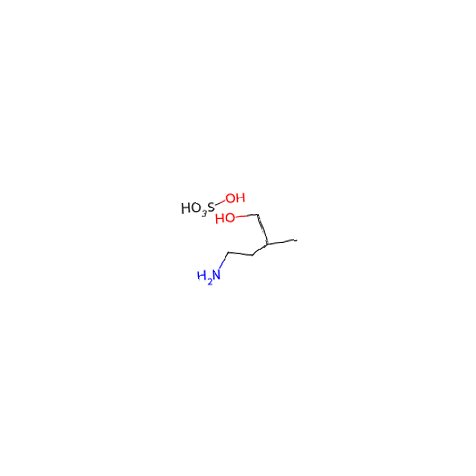 CC(CO)CCN.O=S(=O)(O)O